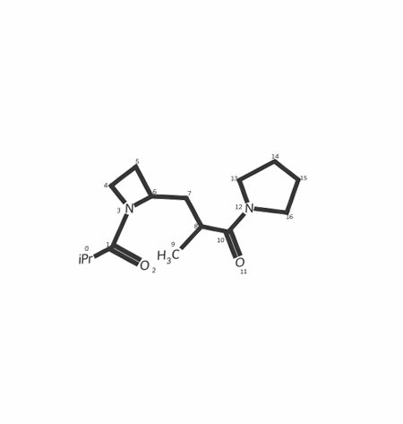 CC(C)C(=O)N1CCC1CC(C)C(=O)N1CCCC1